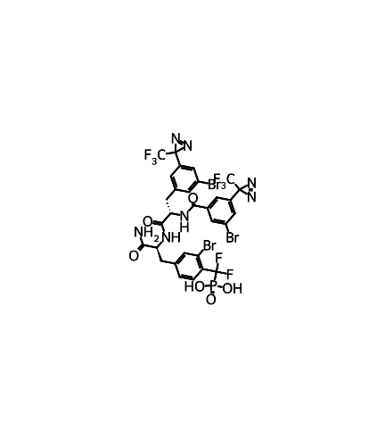 NC(=O)[C@H](Cc1ccc(C(F)(F)P(=O)(O)O)c(Br)c1)NC(=O)[C@H](Cc1cc(Br)cc(C2(C(F)(F)F)N=N2)c1)NC(=O)c1cc(Br)cc(C2(C(F)(F)F)N=N2)c1